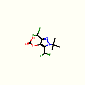 CC(C)(C)n1nc(C(F)F)c(OC(=O)O)c1C(F)F